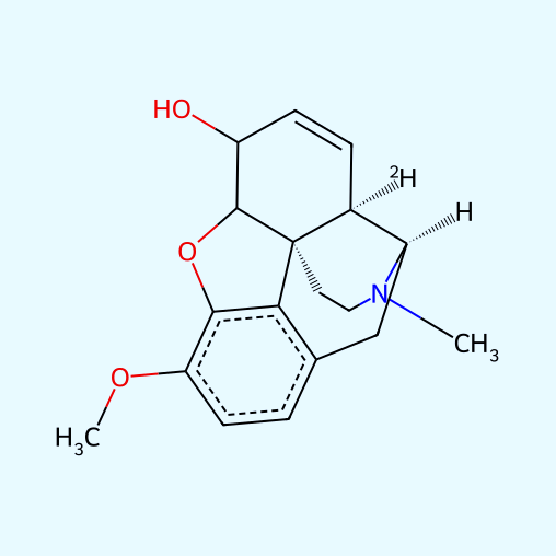 [2H][C@@]12C=CC(O)C3Oc4c(OC)ccc5c4[C@@]31CCN(C)[C@@H]2C5